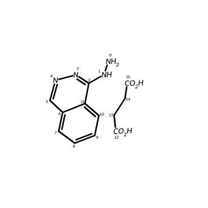 NNc1nncc2ccccc12.O=C(O)CCC(=O)O